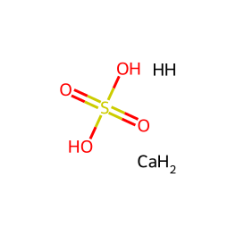 O=S(=O)(O)O.[CaH2].[HH]